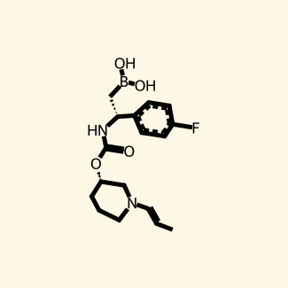 CC=CN1CCC[C@H](OC(=O)N[C@H](CB(O)O)c2ccc(F)cc2)C1